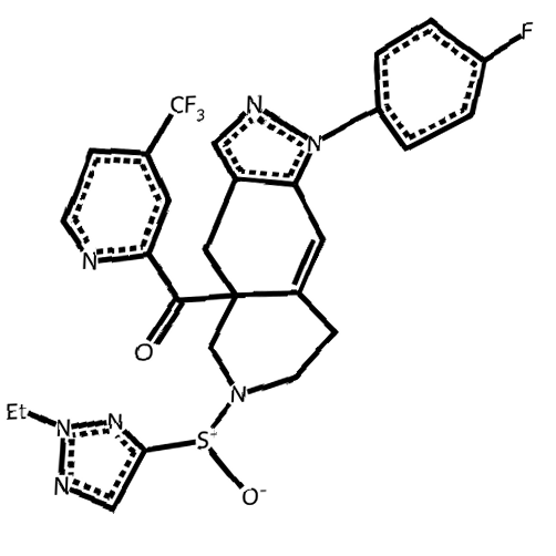 CCn1ncc([S+]([O-])N2CCC3=Cc4c(cnn4-c4ccc(F)cc4)CC3(C(=O)c3cc(C(F)(F)F)ccn3)C2)n1